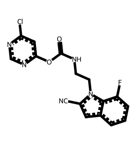 N#Cc1cc2cccc(F)c2n1CCNC(=O)Oc1cc(Cl)ncn1